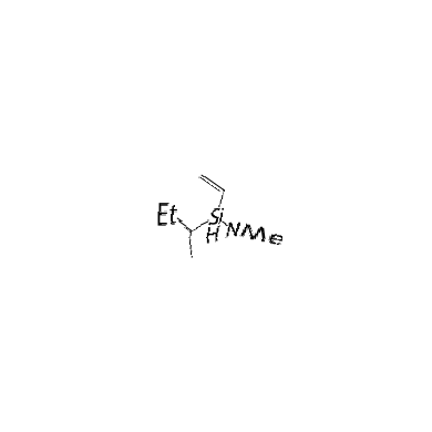 C=C[SiH](NC)C(C)CC